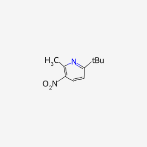 Cc1nc(C(C)(C)C)ccc1[N+](=O)[O-]